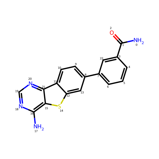 NC(=O)c1cccc(-c2ccc3c(c2)sc2c(N)ncnc23)c1